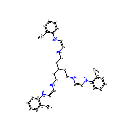 Cc1ccccc1N/C=C\NCCC(CCN/C=C\Nc1ccccc1C)CCN/C=C\Nc1ccccc1C